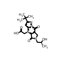 C[C@H](O)CN1Cc2c(n(CC(=O)O)c3cc(C(C)(C)C)nn3c2=O)C1=O